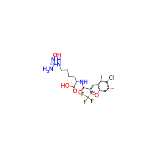 Cc1cc2c(c(C)c1Cl)C=C(C(=O)NC(CCCCN/C(N)=N\O)C(=O)O)[C@@H](C(F)(F)F)O2